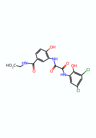 O=C(O)CNC(=O)c1ccc(O)c(NC(=O)C(=O)Nc2cc(Cl)cc(Cl)c2O)c1